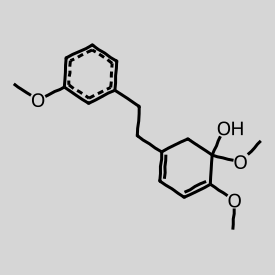 COC1=CC=C(CCc2cccc(OC)c2)CC1(O)OC